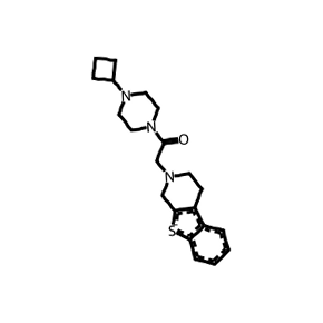 O=C(CN1CCc2c(sc3ccccc23)C1)N1CCN(C2CCC2)CC1